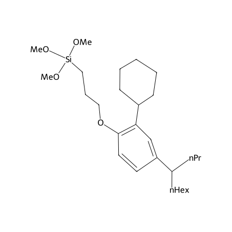 CCCCCCC(CCC)c1ccc(OCCC[Si](OC)(OC)OC)c(C2CCCCC2)c1